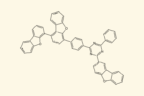 c1ccc(-c2nc(-c3ccc(-c4ccc(-c5cccc6c5oc5ccccc56)c5c4oc4ccccc45)cc3)nc(-c3ccc4oc5ccccc5c4c3)n2)cc1